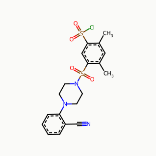 Cc1cc(C)c(S(=O)(=O)N2CCN(c3ccccc3C#N)CC2)cc1S(=O)(=O)Cl